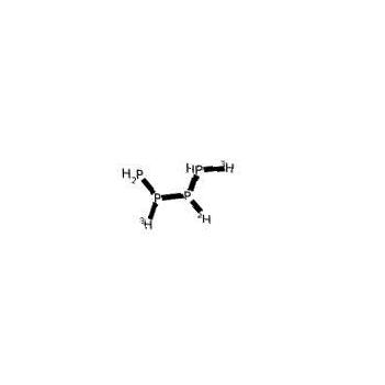 [2H]P(P[3H])P([3H])P